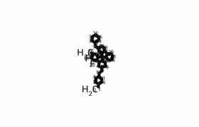 C=Cc1ccc(CCC2=CC=C(C3(c4cc(C)c(F)c(F)c4)c4ccccc4-c4ccc(Cc5ccccc5)cc43)CC2)cc1